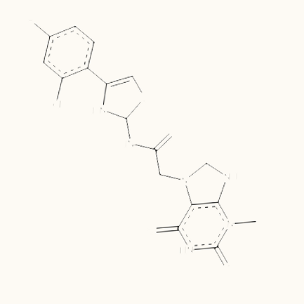 Cn1c2c(c(=O)[nH]c1=O)N(CC(=O)NC1NC(c3ccc(F)cc3Cl)=CS1)CN2